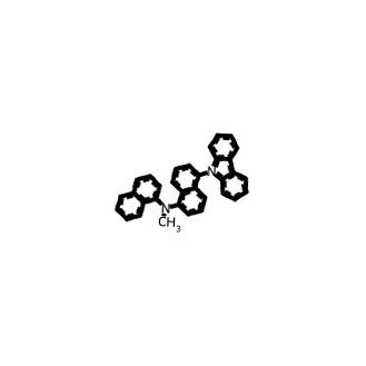 CN(c1cccc2ccccc12)c1cccc2c(-n3c4ccccc4c4ccccc43)cccc12